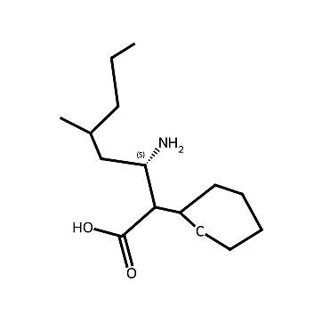 CCCC(C)C[C@H](N)C(C(=O)O)C1CCCCC1